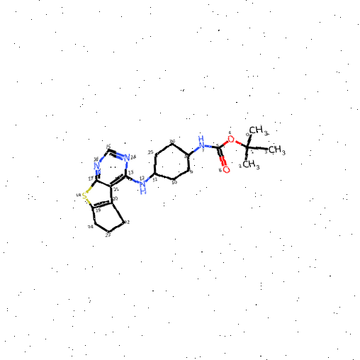 CC(C)(C)OC(=O)NC1CCC(Nc2ncnc3sc4c(c23)CCC4)CC1